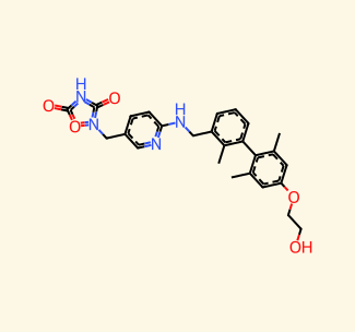 Cc1cc(OCCO)cc(C)c1-c1cccc(CNc2ccc(Cn3oc(=O)[nH]c3=O)cn2)c1C